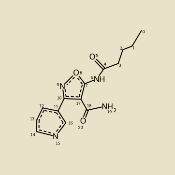 CCCCC(=O)Nc1onc(-c2cccnc2)c1C(N)=O